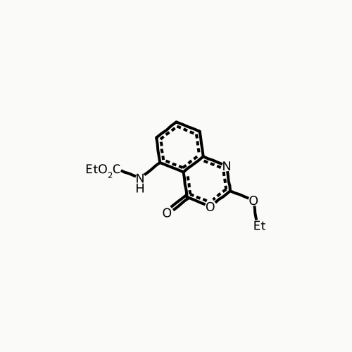 CCOC(=O)Nc1cccc2nc(OCC)oc(=O)c12